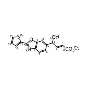 CCOC(=O)/C=C/C(O)c1ccc2nc(-c3cccs3)oc2c1